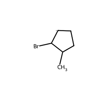 CC1CC[CH]C1Br